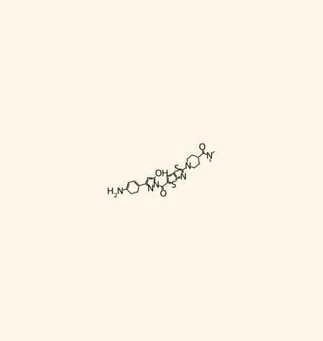 CN(C)C(=O)C1CCN(c2nc3sc(C(=O)n4nc(C5=CC=C(N)CC5)cc4O)cc3s2)CC1